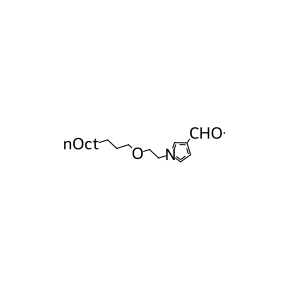 CCCCCCCCCCCOCCn1ccc([C]=O)c1